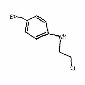 CCc1ccc(NCCCl)cc1